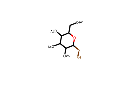 CC(=O)OCC1OC(SS)C(OC(C)=O)C(OC(C)=O)C1OC(C)=O